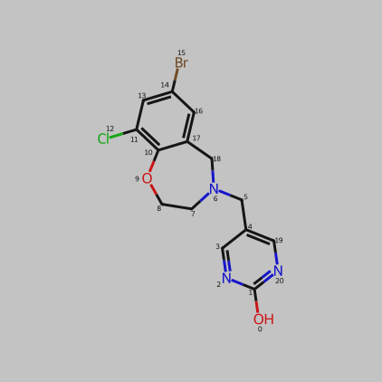 Oc1ncc(CN2CCOc3c(Cl)cc(Br)cc3C2)cn1